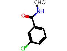 O=CNC(=O)c1cccc(Cl)c1